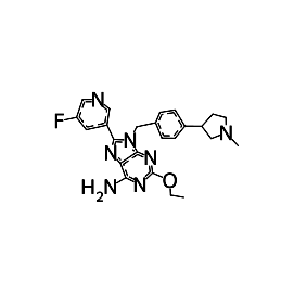 CCOc1nc(N)c2nc(-c3cncc(F)c3)n(Cc3ccc(C4CCN(C)C4)cc3)c2n1